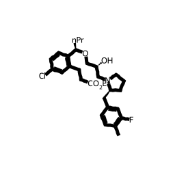 CCC[C@@H](OC[C@H](O)CN1CCC[C@H]1Cc1ccc(C)c(F)c1)c1ccc(Cl)cc1CCC(=O)OCC